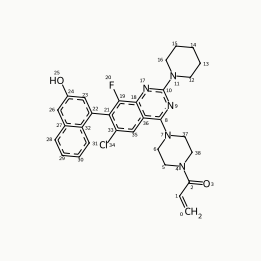 C=CC(=O)N1CCN(c2nc(N3CCCCC3)nc3c(F)c(-c4cc(O)cc5ccccc45)c(Cl)cc23)CC1